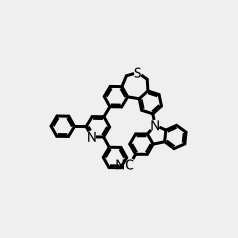 N#Cc1ccc2c(c1)c1ccccc1n2-c1ccc2c(c1)-c1cc(-c3cc(-c4ccccc4)nc(-c4ccccc4)c3)ccc1CSC2